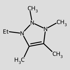 CCN1C(C)=C(C)N(C)N1C